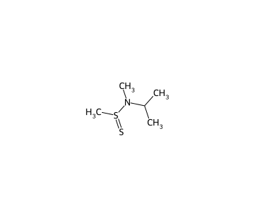 CC(C)N(C)S(C)=S